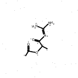 CC(=O)OC(C)C(=O)N=C(N)N